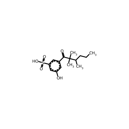 CCCC(C)C(C)(C)C(=O)c1cc(O)cc(S(=O)(=O)O)c1